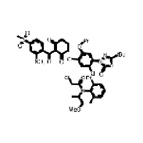 CC(C)Oc1cc(-n2nc(C(C)(C)C)oc2=O)c(Cl)cc1Cl.CCc1cccc(C)c1N(C(=O)CCl)C(C)COC.CS(=O)(=O)c1ccc(C(=O)C2C(=O)CCCC2=O)c([N+](=O)[O-])c1